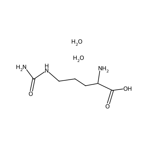 NC(=O)NCCCC(N)C(=O)O.O.O